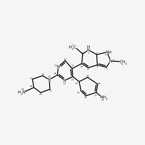 CC1NC2NN(C)C=C2C=C1c1cnc(N2CCC(N)CC2)nc1C1C=CC(N)=CC1